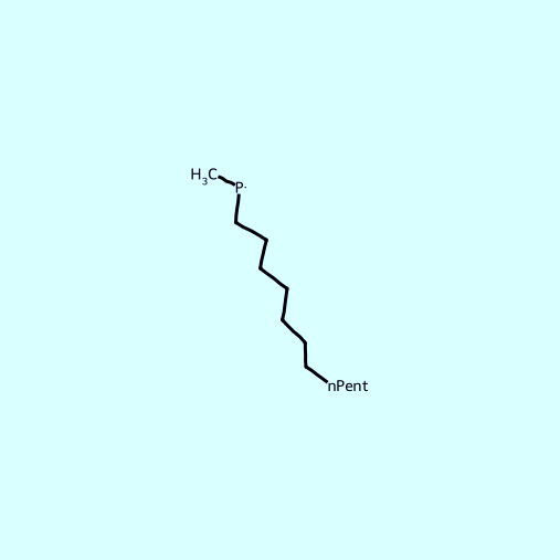 CCCCCCCCCCCC[P]C